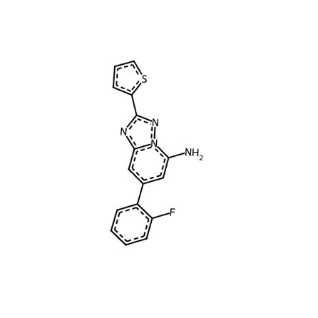 Nc1cc(-c2ccccc2F)cc2nc(-c3cccs3)nn12